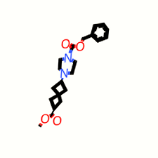 COC(=O)[C@H]1CC2(C1)C[C@H](N1CCN(C(=O)OCc3ccccc3)CC1)C2